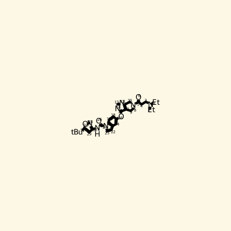 CCN(CC)CCC(=O)N1CCc2c(ncnc2Oc2ccc3c(ccn3C(=O)Nc3cc(C(C)(C)C)on3)c2)C1